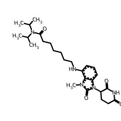 CC(C)N(C(=O)CCCCCCNc1cccc2c1n(C)c(=O)n2C1CCC(=O)NC1=O)C(C)C